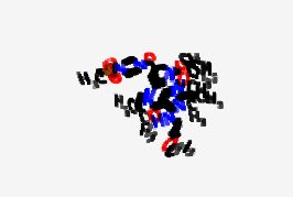 CCS(=O)(=O)N1CCN(C(=O)[C@@H]2C[C@H](N(CC(C)C)C(=O)c3cnc(C(C)(C)C)nc3NCCCOC)CN(C(=O)OC(C)(C)C)C2)CC1